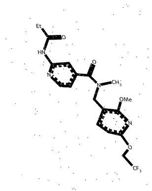 CCC(=O)Nc1cc(C(=O)N(C)Cc2ccc(OCC(F)(F)F)nc2OC)ccn1